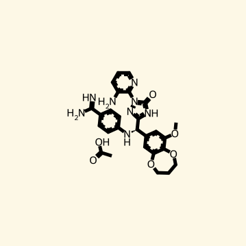 CC(=O)O.COc1cc([C@H](Nc2ccc(C(=N)N)cc2)c2nn(-c3ncccc3N)c(=O)[nH]2)cc2c1OCCCO2